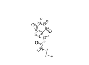 CCCN(C)C(=O)CC(C)(C)C1=C(C)C(=O)C(C)=C(C)C1=O